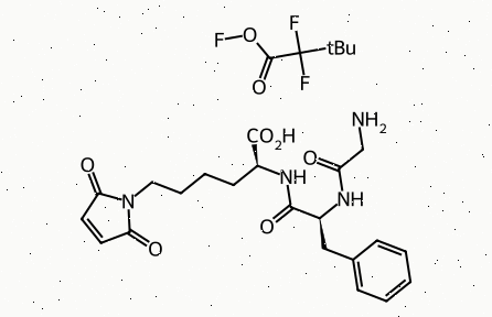 CC(C)(C)C(F)(F)C(=O)OF.NCC(=O)N[C@@H](Cc1ccccc1)C(=O)N[C@@H](CCCCN1C(=O)C=CC1=O)C(=O)O